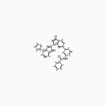 O=C(Nc1cncc(-c2ccc3[nH]nc(-c4nc5c(-c6cccs6)cncc5[nH]4)c3n2)c1)c1ccccc1